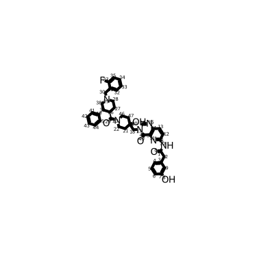 O=C(Cc1cccc(O)c1)Nc1ccc2ncn(CC3(O)CCN(C(=O)[C@@H]4CCN(Cc5ccccc5F)C[C@H]4c4ccccc4)CC3)c(=O)c2n1